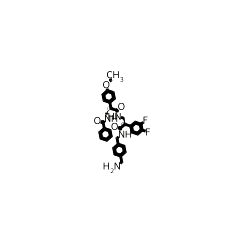 CCOc1ccc([C@@H](CNC(=O)c2ccccc2)C(=O)NC[C@H](C(=O)NCc2ccc(CN)cc2)c2ccc(F)c(F)c2)cc1